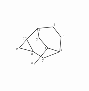 CC1CC2CCC1CC1CC21